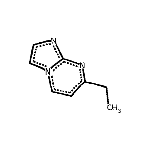 CCc1ccn2ccnc2n1